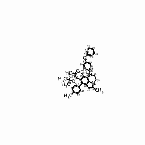 Cc1ccc(-c2c([C@H](OC(C)(C)C)C(=O)O)c(C)c3c4c2cc(C)n4CCN3c2ncc(Oc3ncccn3)cn2)cc1